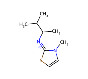 CC(C)C(C)/N=c1/sccn1C